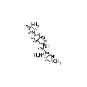 Cc1ccc2c(N)c(C(=O)N[C@H]3COc4cc(N5C[C@@H](F)[C@@H](N)C5)ccc4C3)sc2n1